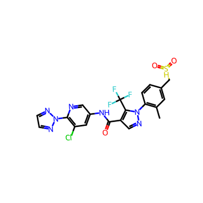 Cc1cc(C[SH](=O)=O)ccc1-n1ncc(C(=O)Nc2cnc(-n3nccn3)c(Cl)c2)c1C(F)(F)F